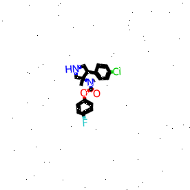 CN(C(=O)Oc1ccc(F)cc1)C1(C)CNCC1c1ccc(Cl)cc1